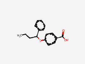 CCCC(Oc1ccc(C(=O)O)cc1)c1ccccc1